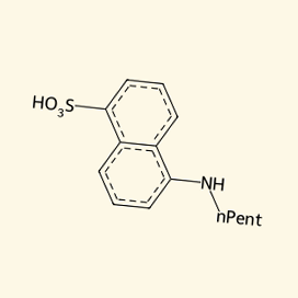 CCCCCNc1cccc2c(S(=O)(=O)O)cccc12